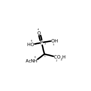 CC(=O)NC(C(=O)O)P(=O)(O)O